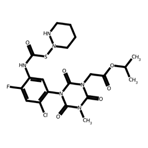 CC(C)OC(=O)Cn1c(=O)n(C)c(=O)n(-c2cc(NC(=O)SN3CCCCN3)c(F)cc2Cl)c1=O